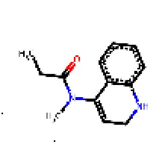 CCC(=O)N(C)C1=CCNc2ccccc21